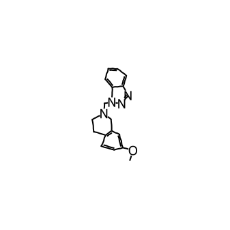 COc1ccc2c(c1)CN(Cn1nnc3ccccc31)CC2